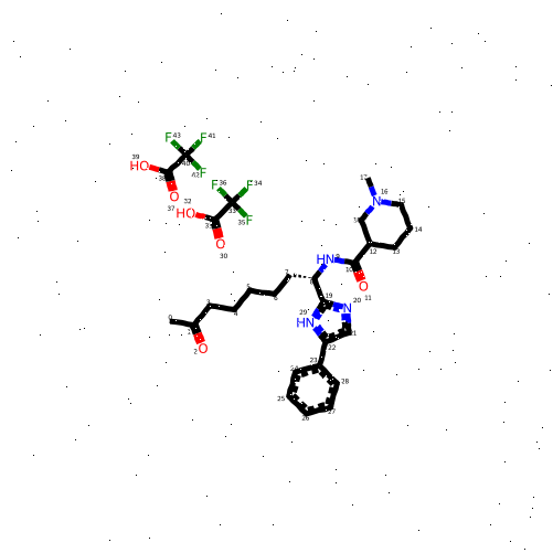 CC(=O)CCCCC[C@H](NC(=O)C1CCCN(C)C1)c1ncc(-c2ccccc2)[nH]1.O=C(O)C(F)(F)F.O=C(O)C(F)(F)F